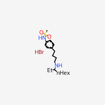 Br.CCCCCCC(CC)NCCCCc1ccc(NS(C)(=O)=O)cc1